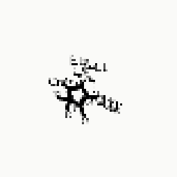 CCP(CC)[Si](C)(C)C1=[C]([Cr+3])C(C)(C)C(C)=C1C.[Cl-].[Cl-].[Cl-]